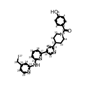 O=C(c1ccc(O)cc1)N1CCC(c2ncc(-c3cccc(Nc4cc(CI)ccn4)n3)s2)CC1